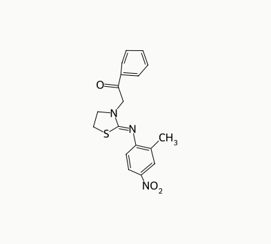 Cc1cc([N+](=O)[O-])ccc1N=C1SCCN1CC(=O)c1ccccc1